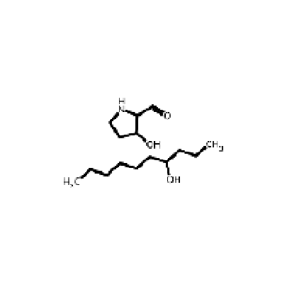 CCCCCCC(O)CCC.O=CC1NCCC1O